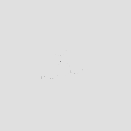 CCCCCCCCCC(CCCN)CC(=O)N(CC)CC